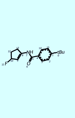 CC(C)(C)c1ccc(C(=O)NC2=CC(F)CC2)cc1